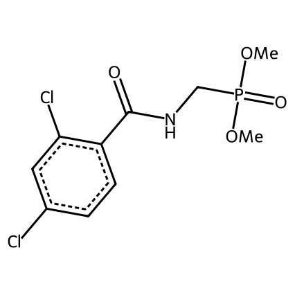 COP(=O)(CNC(=O)c1ccc(Cl)cc1Cl)OC